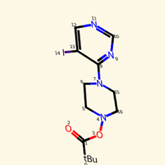 CC(C)(C)C(=O)ON1CCN(c2ncncc2I)CC1